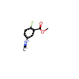 [C-]#[N+]c1ccc(F)c(C(=O)OC)c1